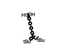 C=C/C(=C\c1c(C)n(-c2ccc(-c3ccc(-c4ccc(-c5ccc(B(O)O)cc5)cc4)cc3)cc2)c2ccc(C(C)(C)C)cc12)C(C)(C)C